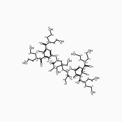 O=C(c1cc(ON(CC(CO)(CO)CN(Oc2cc(C(=O)N(CCO)CCO)c(I)c(C(=O)N(CCO)CCO)c2I)C(=O)CI)C(=O)CI)c(I)c(C(=O)N(CCO)CCO)c1I)N(CCO)CCO